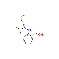 C/C=C\C=C(\NC1=CC=CCC=C1CO)C(C)C